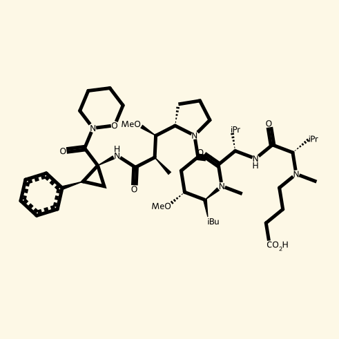 CC[C@H](C)[C@@H]([C@@H](CC(=O)N1CCC[C@H]1[C@H](OC)[C@@H](C)C(=O)N[C@@]1(C(=O)N2CCCCO2)C[C@H]1c1ccccc1)OC)N(C)C(=O)[C@@H](NC(=O)[C@H](C(C)C)N(C)CCCC(=O)O)C(C)C